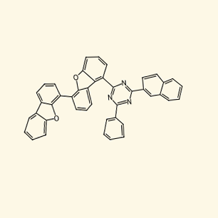 c1ccc(-c2nc(-c3ccc4ccccc4c3)nc(-c3cccc4oc5c(-c6cccc7c6oc6ccccc67)cccc5c34)n2)cc1